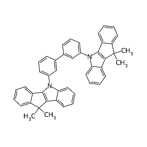 CC1(C)c2ccccc2-c2c1c1ccccc1n2-c1cccc(-c2cccc(-n3c4c(c5ccccc53)C(C)(C)c3ccccc3-4)c2)c1